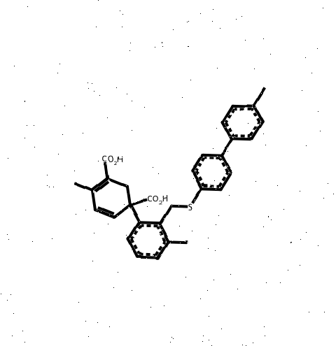 CC1=C(C(=O)O)CC(C(=O)O)(c2cccc(C)c2CSc2ccc(-c3ccc(C)cc3)cc2)C=C1